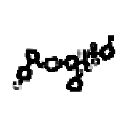 O=C(NS(=O)(=O)c1cccc(F)c1)c1ccc(N2CCN(Cc3ccccc3-c3ccc(Cl)cc3)CC2)cc1Oc1ccccc1